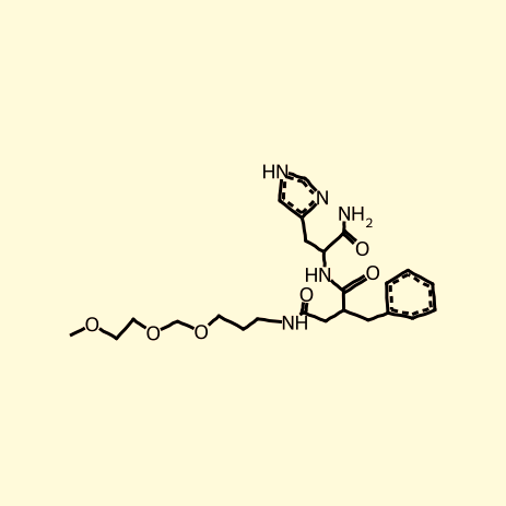 COCCOCOCCCNC(=O)CC(Cc1ccccc1)C(=O)NC(Cc1c[nH]cn1)C(N)=O